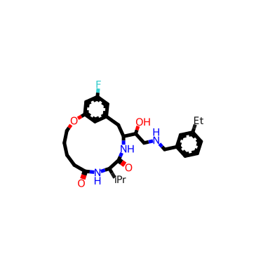 CCc1cccc(CNCC(O)C2Cc3cc(F)cc(c3)OCCCCC(=O)NC(C(C)C)C(=O)N2)c1